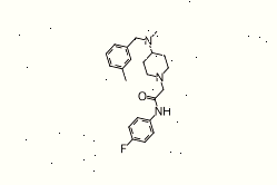 Cc1cccc(CN(C)C2CCN(CC(=O)Nc3ccc(F)cc3)CC2)c1